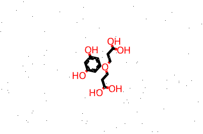 OC(O)CCOCCC(O)O.Oc1cccc(O)c1